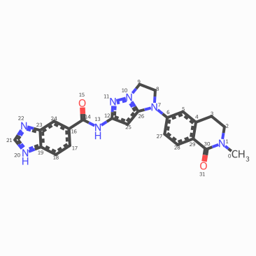 CN1CCc2cc(N3CCn4nc(NC(=O)c5ccc6[nH]cnc6c5)cc43)ccc2C1=O